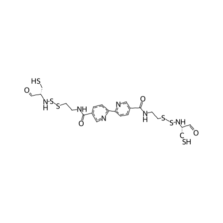 O=C[C@H](CS)NSSCCNC(=O)c1ccc(-c2ccc(C(=O)NCCSSN[C@H](C=O)CS)cn2)nc1